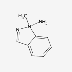 C[N+]1(N)N=Cc2ccccc21